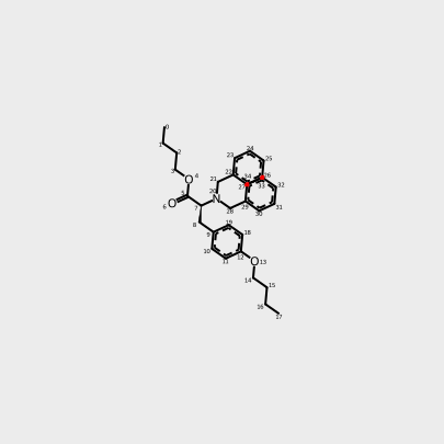 CCCCOC(=O)[C@H](Cc1ccc(OCCCC)cc1)N(Cc1ccccc1)Cc1ccccc1